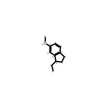 CCC1CCc2ccc(OC)cc21